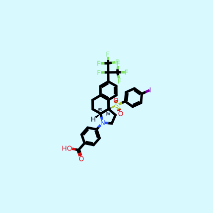 O=C(O)c1ccc(N2CC[C@@]3(S(=O)(=O)c4ccc(I)cc4)c4ccc(C(F)(C(F)(F)F)C(F)(F)F)cc4CC[C@@H]23)cc1